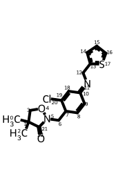 CC1(C)CON(CC2C=C/C(=N/Cc3cccs3)C=C2Cl)C1=O